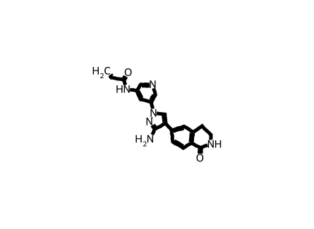 C=CC(=O)Nc1cncc(-n2cc(-c3ccc4c(c3)CCNC4=O)c(N)n2)c1